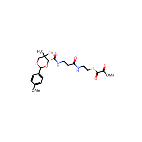 COC(=O)C(=O)SCCNC(=O)CCNC(=O)[C@@H]1OC(c2ccc(OC)cc2)OCC1(C)C